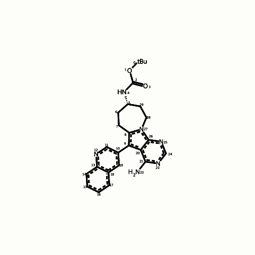 CC(C)(C)OC(=O)N[C@H]1CCc2c(-c3cnc4ccccc4c3)c3c(N)ncnc3n2CC1